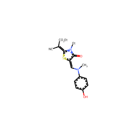 CCOC(=O)C(C#N)=c1sc(=CN(C)c2ccc(O)cc2)c(=O)n1CC